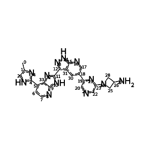 Cc1c[nH]c(-c2ccnc3[nH]c(-c4n[nH]c5ncc(-c6cncc(N7CC(N)C7)n6)cc45)nc23)n1